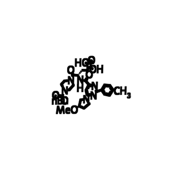 CCCCOC(=O)N1CCN(C(=O)[C@H](CCP(=O)(O)O)NC(=O)c2cc(N3CC[C@H](OC)C3)nc(-c3ccc(C)cc3)n2)CC1